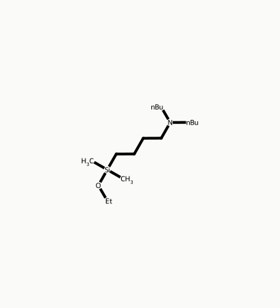 CCCCN(CCCC)CCCC[Si](C)(C)OCC